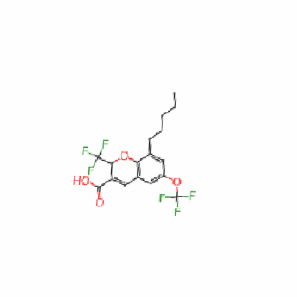 CCCCCc1cc(OC(F)(F)F)cc2c1OC(C(F)(F)F)C(C(=O)O)=C2